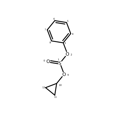 O=S(Oc1ccccc1)OC1CC1